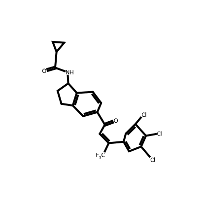 O=C(/C=C(\c1cc(Cl)c(Cl)c(Cl)c1)C(F)(F)F)c1ccc2c(c1)CCC2NC(=O)C1CC1